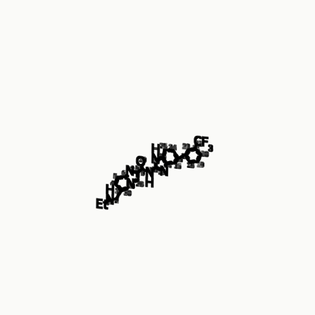 CCNCc1ccc2nc(C(=O)Nc3nc4cc(-c5cccc(C(F)(F)F)c5)ccc4[nH]3)cn2c1